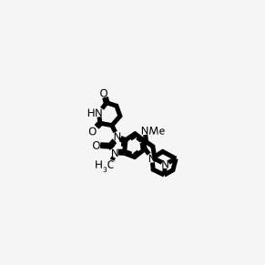 CNCCCN1C2CC1CN(c1ccc3c(c1)n(C)c(=O)n3C1CCC(=O)NC1=O)C2